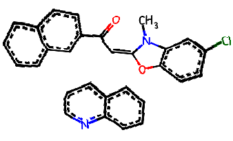 CN1C(=CC(=O)c2ccc3ccccc3c2)Oc2ccc(Cl)cc21.c1ccc2ncccc2c1